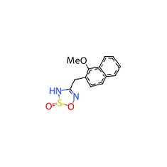 COc1c(CC2=NOS(=O)N2)ccc2ccccc12